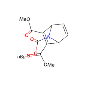 CCCCOC(=O)N1C2C=CC1C(C(=O)OC)=C2C(=O)OC